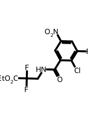 CCOC(=O)C(F)(F)CNC(=O)c1cc([N+](=O)[O-])cc(F)c1Cl